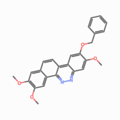 COc1cc2ccc3c4cc(OCc5ccccc5)c(OC)cc4nnc3c2cc1OC